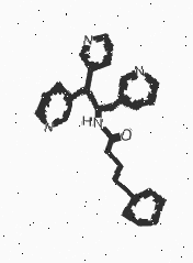 O=C(CCCc1ccccc1)NC(c1cccnc1)C(c1cccnc1)c1cccnc1